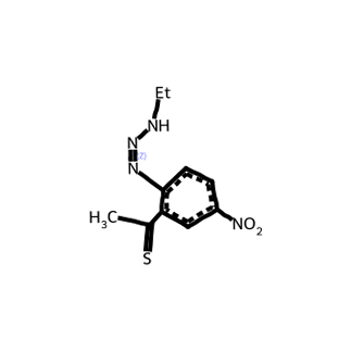 CCN/N=N\c1ccc([N+](=O)[O-])cc1C(C)=S